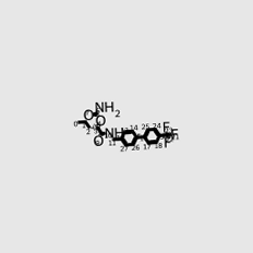 CCC[C@H](OC(N)=O)C(=O)NCc1ccc(-c2ccc(C(F)(F)F)cc2)cc1